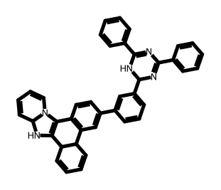 C1=CC2C3=C(c4ccc(-c5cccc(C6N=C(c7ccccc7)N=C(c7ccccc7)N6)c5)cc4C2C=C1)N1C=CC=CC1N3